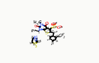 CC(C)Cn1c2c(c(=O)n(C)c1=O)C(=S(=O)=O)C(Cc1ccccc1C(F)(F)F)S2.c1cscn1